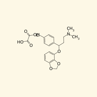 CN(C)CCC(Oc1cccc2c1OCO2)c1ccc(Cl)cc1.O=C(O)C(=O)O